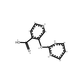 O=C(O)c1ccncc1Oc1ncccn1